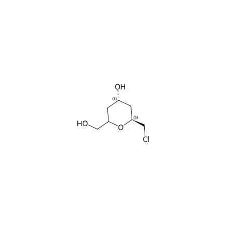 OCC1C[C@H](O)C[C@@H](CCl)O1